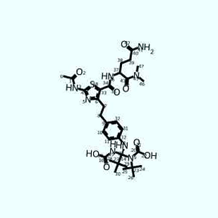 CC(=O)Nc1nc(CCc2ccc(N[C@@](NC(=O)O)(N(C(=O)O)C(C)(C)C)C(C)(C)C)cc2)c(C(=O)NC(CCC(N)=O)C(=O)N(C)C)s1